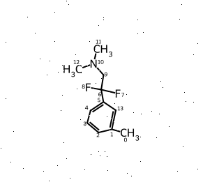 Cc1cccc(C(F)(F)CN(C)C)c1